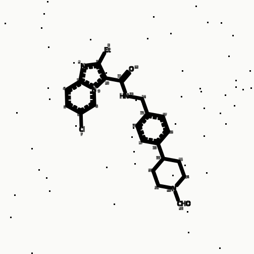 CCc1nc2ccc(Cl)cn2c1C(=O)NCc1ccc(C2CCN(C=O)CC2)cc1